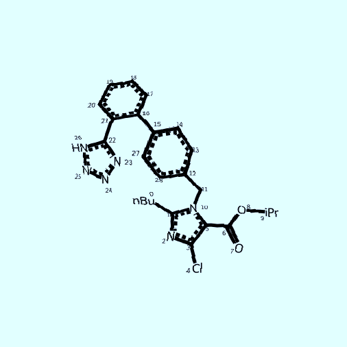 CCCCc1nc(Cl)c(C(=O)OC(C)C)n1Cc1ccc(-c2ccccc2-c2nnn[nH]2)cc1